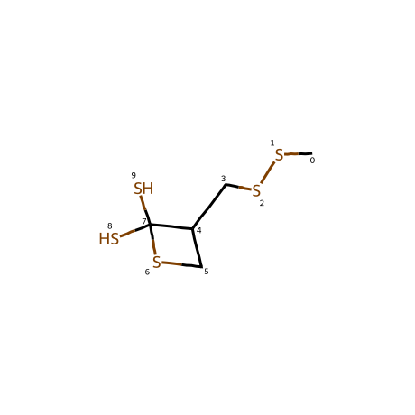 CSSCC1CSC1(S)S